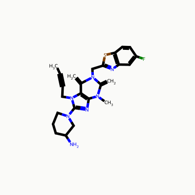 C=C1c2c(nc(N3CCCC(N)C3)n2CC#CC)N(C)C(=C)N1Cc1nc2cc(F)ccc2s1